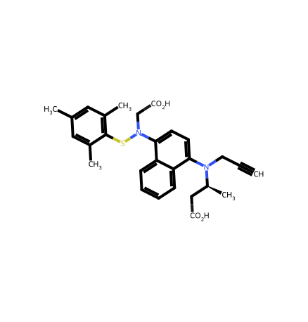 C#CCN(c1ccc(N(CC(=O)O)Sc2c(C)cc(C)cc2C)c2ccccc12)[C@@H](C)CC(=O)O